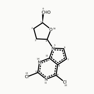 O=C[C@@H]1CCC(n2ccc3c(Cl)nc(Cl)nc32)O1